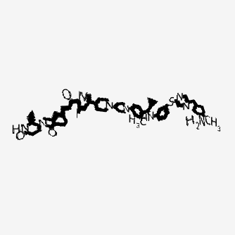 Cc1cc(N2CCC(N3CC=C(c4cnc(C(=O)CCC5C=C6CN(C7CCC(=O)NC78C7CC78)C(=O)C6=CC5)c(F)c4)CC3)CC2)ccc1C(Nc1cccc(Sc2cnc(CC3CCC(C)(N)CC3)cn2)c1)C1CC1